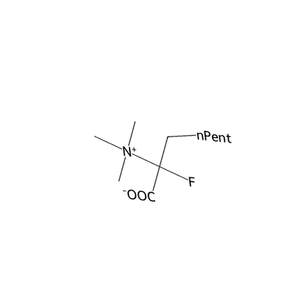 CCCCCCC(F)(C(=O)[O-])[N+](C)(C)C